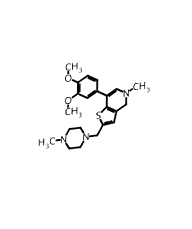 COc1ccc(C2=CN(C)Cc3cc(CN4CCN(C)CC4)sc32)cc1OC